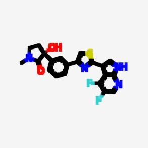 CN1CC[C@@](O)(c2cccc(-c3csc(-c4c[nH]c5ncc(F)c(F)c45)n3)c2)C1=O